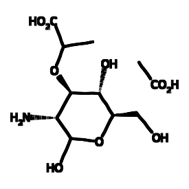 CC(=O)O.CC(O[C@H]1[C@H](O)[C@@H](CO)OC(O)[C@@H]1N)C(=O)O